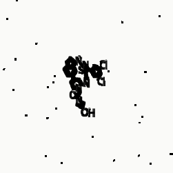 CN(c1nc(-c2cc(Cl)cc(Cl)c2)c(C#N)s1)C1CCc2ccc(C3=CCN(CC(=O)N4CC(O)C4)CC3)cc21